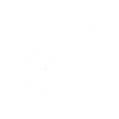 CCCCOC1CC[N+](C=O)(C23CC4CC(CC(C4)C2)C3)c2ccccc21